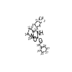 O=C(N[C@@H](c1ccc(C(F)(F)F)cc1)c1ccccn1)OCc1ccccc1